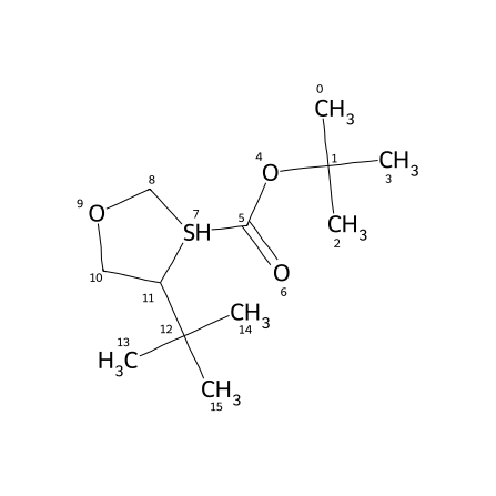 CC(C)(C)OC(=O)[SH]1COCC1C(C)(C)C